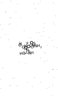 CN1CCC[C@H]1COc1nc(N2CCNCC(CO)C2)c2cc(Cl)c(-c3cccc4sc(N)nc34)c(F)c2n1